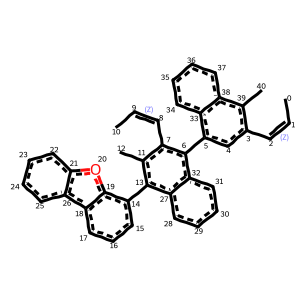 C/C=C\c1cc(-c2c(/C=C\C)c(C)c(-c3cccc4c3oc3ccccc34)c3ccccc23)c2ccccc2c1C